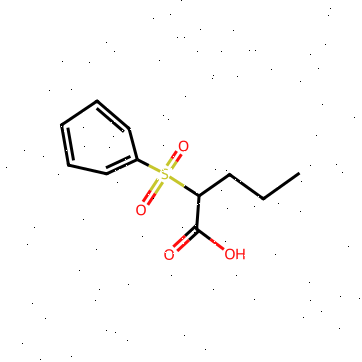 CCCC(C(=O)O)S(=O)(=O)c1ccccc1